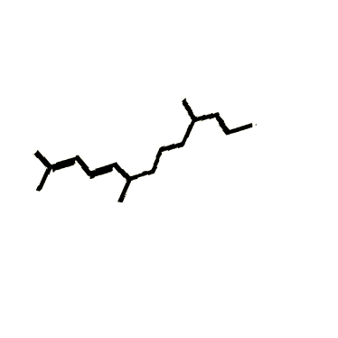 [CH2]CCC(C)CCCC(C)C=CC=C(C)C